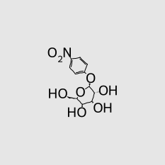 O=[N+]([O-])c1ccc(O[C@@H]2O[C@H](CO)[C@H](O)[C@H](O)[C@H]2O)cc1